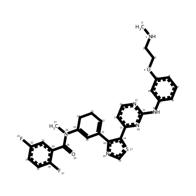 CNCCOc1cccc(Nc2nccc(-c3scnc3C3=CCCC(N(C)C(=O)c4cc(F)ccc4F)=C3)n2)c1